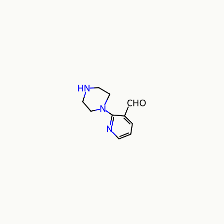 O=Cc1cccnc1N1CCNCC1